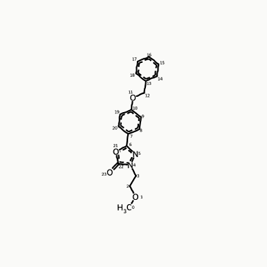 COCCn1nc(-c2ccc(OCc3ccccc3)cc2)oc1=O